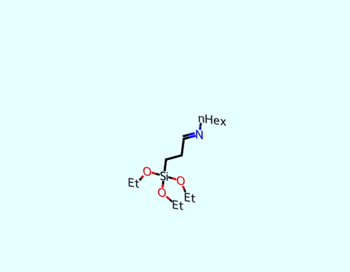 CCCCCCN=CCC[Si](OCC)(OCC)OCC